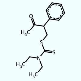 CCN(CC)C(=S)SCC(C(C)=O)c1ccccc1